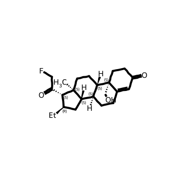 CC[C@@H]1C[C@H]2[C@@H]3CCC4=CC(=O)CC[C@]4(CO)[C@H]3CC[C@]2(C)[C@H]1C(=O)CF